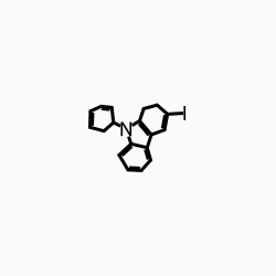 IC1=Cc2c(n(C3C=CC=CC3)c3ccccc23)CC1